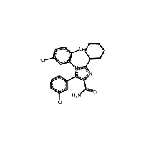 Cc1ccc(Cl)cc1-n1c(C2CCCCC2)nc(C(N)=O)c1-c1cccc(Cl)c1